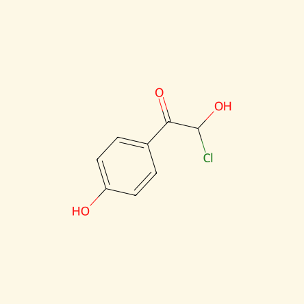 O=C(c1ccc(O)cc1)C(O)Cl